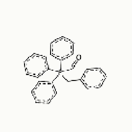 O=CP(Cc1ccccc1)(c1ccccc1)(c1ccccc1)c1ccccc1